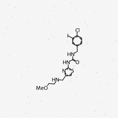 COCCNCc1csc(NC(=O)NCc2ccc(Cl)c(I)c2)n1